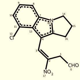 O=CCC(=Cc1c2n(c3cccc(Cl)c13)CCC2)[N+](=O)[O-]